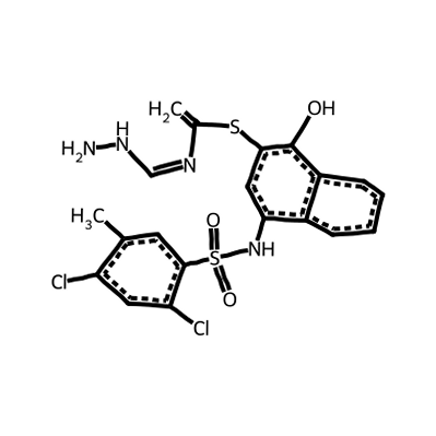 C=C(/N=C\NN)Sc1cc(NS(=O)(=O)c2cc(C)c(Cl)cc2Cl)c2ccccc2c1O